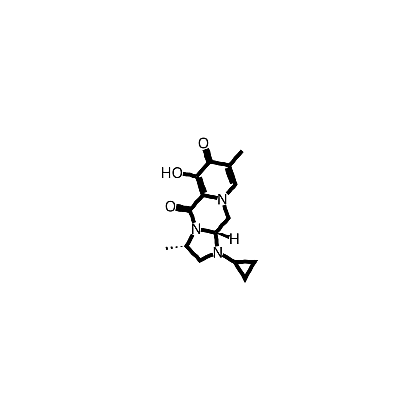 Cc1cn2c(c(O)c1=O)C(=O)N1[C@H](C2)N(C2CC2)C[C@@H]1C